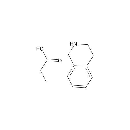 CCC(=O)O.c1ccc2c(c1)CCNC2